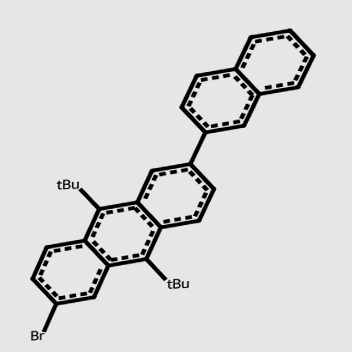 CC(C)(C)c1c2ccc(-c3ccc4ccccc4c3)cc2c(C(C)(C)C)c2ccc(Br)cc12